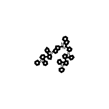 c1ccc(-n2c3ccccc3c3c(-c4cccc5c4c4ccccc4n5-c4cccc(-c5nc(-c6ccc7cc(-n8c9ccccc9c9c(-c%10cccc%11c%10c%10ccccc%10n%11-c%10ccccc%10)cccc98)ccc7c6)nc6c5ccc5ccccc56)c4)cccc32)cc1